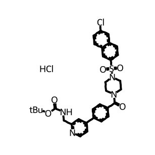 CC(C)(C)OC(=O)NCc1cc(-c2ccc(C(=O)N3CCN(S(=O)(=O)c4ccc5cc(Cl)ccc5c4)CC3)cc2)ccn1.Cl